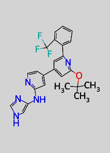 CC(C)(C)Oc1cc(-c2ccnc(Nc3c[nH]cn3)c2)cc(-c2ccccc2C(F)(F)F)n1